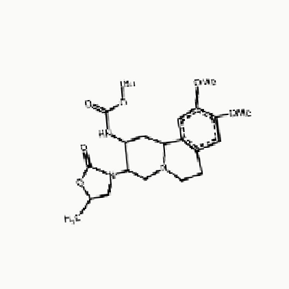 COc1cc2c(cc1OC)C1CC(NC(=O)OC(C)(C)C)C(N3CC(C)OC3=O)CN1CC2